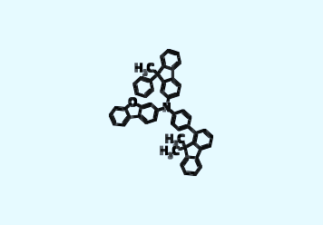 CC1(C)c2ccccc2-c2cccc(-c3ccc(N(c4ccc5c(c4)C(C)(c4ccccc4)c4ccccc4-5)c4ccc5c(c4)oc4ccccc45)cc3)c21